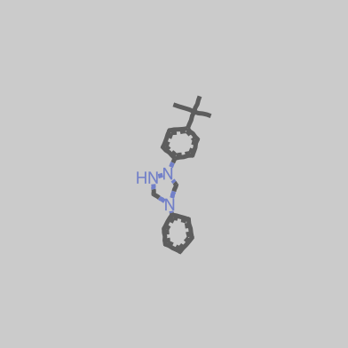 CC(C)(C)c1ccc(N2CN(c3ccccc3)CN2)cc1